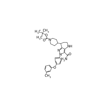 Cc1cccc(Oc2ccc(-n3nc4c(c3C(N)=O)NCCC4C3CCN(C(=O)OC(C)(C)C)CC3)cc2)c1